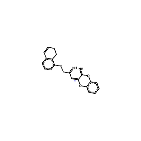 N=C(/C=C1/Oc2ccccc2OC1=N)COc1cccc2c1CCC=C2